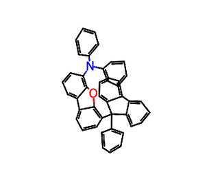 c1ccc(N(c2ccccc2)c2cccc3c2oc2c(C4(c5ccccc5)c5ccccc5-c5ccccc54)cccc23)cc1